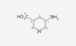 Bc1cncc(C(=O)O)c1